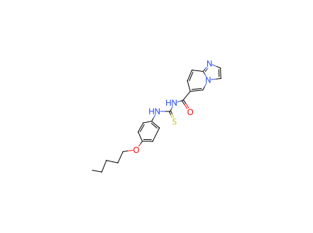 CCCCCOc1ccc(NC(=S)NC(=O)c2ccc3nccn3c2)cc1